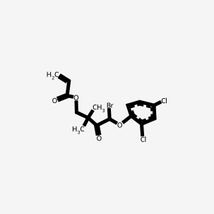 C=CC(=O)OCC(C)(C)C(=O)C(Br)Oc1ccc(Cl)cc1Cl